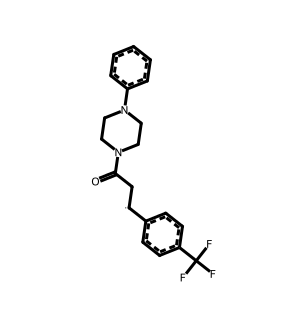 O=C(C[CH]c1ccc(C(F)(F)F)cc1)N1CCN(c2ccccc2)CC1